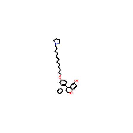 Oc1ccc2c(c1)[C@H](c1ccc(OCCCCCCCCCCCCN3CCCC3)cc1)[C@@H](c1ccccc1)CO2